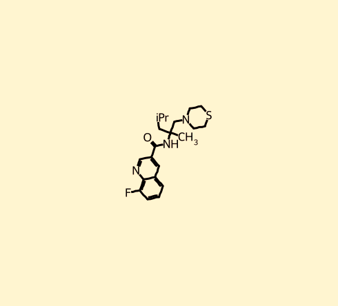 CC(C)CC(C)(CN1CCSCC1)NC(=O)c1cnc2c(F)cccc2c1